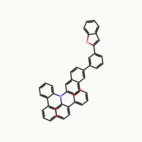 c1ccc(-c2ccccc2N(c2ccc3cc(-c4cccc(-c5cc6ccccc6o5)c4)ccc3c2)c2ccccc2-c2ccccc2)cc1